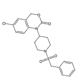 O=C1OCc2cc(Cl)ccc2N1C1CCN(S(=O)(=O)Cc2ccccc2)CC1